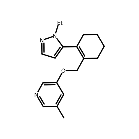 CCn1nccc1C1=C(COc2cncc(C)c2)CCCC1